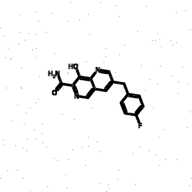 NC(=O)c1ncc2cc(Cc3ccc(F)cc3)cnc2c1O